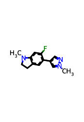 CN1CCc2cc(-c3cnn(C)c3)c(F)cc21